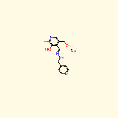 Cc1ncc(CO)c(C=NNCc2ccncc2)c1O.[Ga]